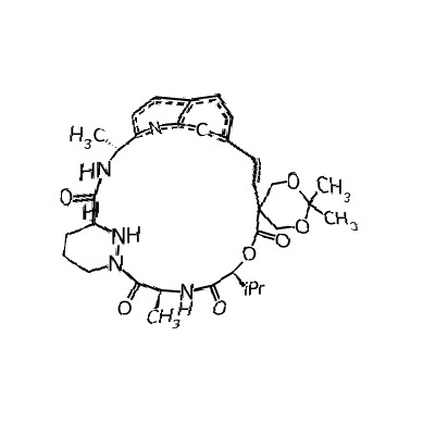 CC(C)[C@@H]1OC(=O)C2(/C=C/c3ccc4ccc(nc4c3)[C@@H](C)NC(=O)[C@@H]3CCCN(N3)C(=O)[C@H](C)NC1=O)COC(C)(C)OC2